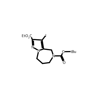 CCOC(=O)c1nn2c(c1I)CN(C(=O)OC(C)(C)C)CCC2